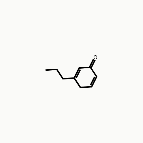 CCCC1=CC(=O)C=CC1